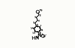 COCCCCc1ccc([N+](=N)[O-])cc1